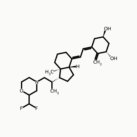 C=C1C(=CC=C2CCC[C@]3(C)[C@@H](C(C)CN4CCOC(C(F)F)C4)CC[C@@H]23)C[C@@H](O)C[C@@H]1O